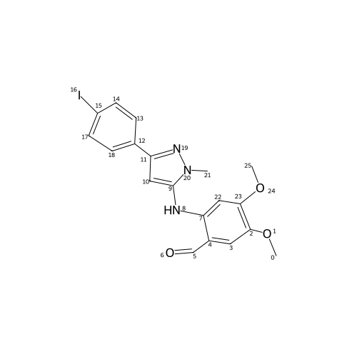 COc1cc(C=O)c(Nc2cc(-c3ccc(I)cc3)nn2C)cc1OC